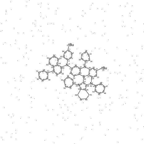 CC(C)(C)c1ccc(N(c2ccc3c(c2)N(c2ccccc2)c2cc(C(C)(C)C)cc4c2B3c2c(c3c(n2-c2ccccc2)CCCC3)N4c2ccccc2)c2ccc(-c3ccccc3)c3ccccc23)cc1